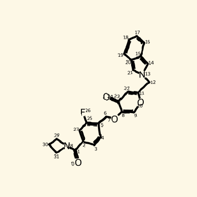 O=C(c1ccc(COc2coc(Cn3cc4ccccc4c3)cc2=O)c(F)c1)N1CCC1